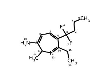 CCCC(F)(F)C1=CC=C(N)C(C)N=C1CC